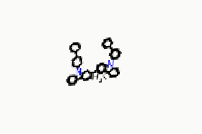 C[C@]12C=CC=CC1N(c1cccc(-c3ccccc3)c1)c1ccc(C3C=CC4c5ccccc5N(C5C=CC(C6CC=CCC6)=CC5)C4C3)cc12